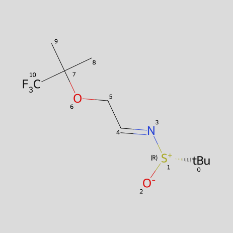 CC(C)(C)[S@+]([O-])N=CCOC(C)(C)C(F)(F)F